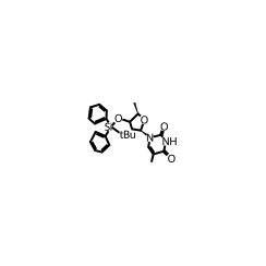 Cc1cn([C@H]2CC(O[Si](c3ccccc3)(c3ccccc3)C(C)(C)C)[C@@H](C)O2)c(=O)[nH]c1=O